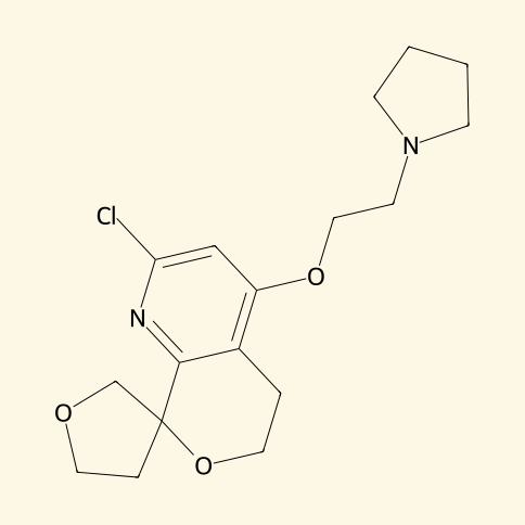 Clc1cc(OCCN2CCCC2)c2c(n1)C1(CCOC1)OCC2